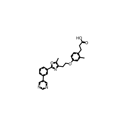 Cc1cc(OCCc2nc(-c3cccc(-c4cncnc4)c3)oc2C)ccc1CCC(=O)O